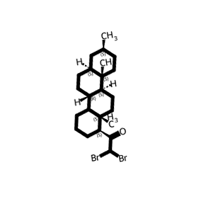 C[C@H]1CC[C@@]2(C)[C@@H](CC[C@H]3C4CCC[C@H](C(=O)C(Br)Br)[C@@]4(C)CC[C@@H]32)C1